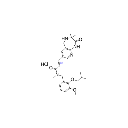 COc1cccc(CN(C)C(=O)/C=C/c2cnc3c(c2)CNC(C)(C)C(=O)N3)c1OCC(C)C.Cl